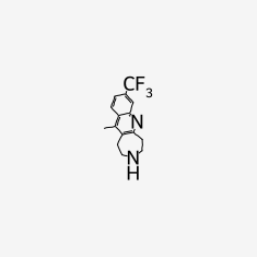 Cc1c2c(nc3cc(C(F)(F)F)ccc13)CCNCC2